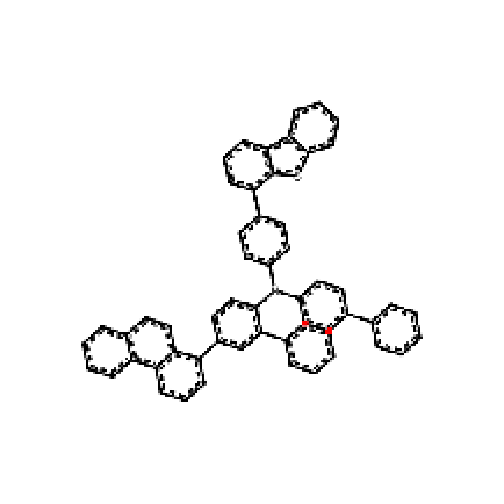 c1ccc(-c2ccc(N(c3ccc(-c4cccc5c4sc4ccccc45)cc3)c3ccc(-c4cccc5c4ccc4ccccc45)cc3-c3ccccc3)cc2)cc1